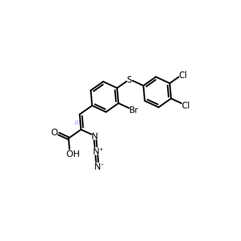 [N-]=[N+]=N/C(=C\c1ccc(Sc2ccc(Cl)c(Cl)c2)c(Br)c1)C(=O)O